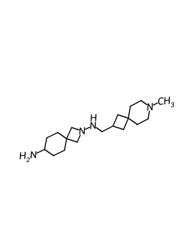 CN1CCC2(CC1)CC(CNN1CC3(CCC(N)CC3)C1)C2